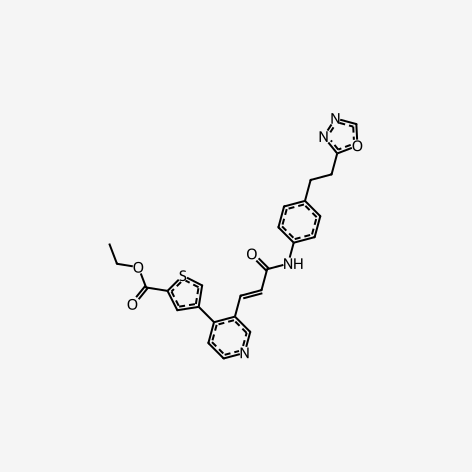 CCOC(=O)c1cc(-c2ccncc2C=CC(=O)Nc2ccc(CCc3nnco3)cc2)cs1